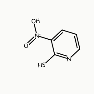 O=[N+](O)c1cccnc1S